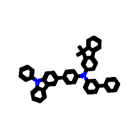 CC1(C)C2=CC(N(c3ccc(-c4ccc5c(c4)c4ccccc4n5-c4ccccc4)cc3)c3cccc(-c4ccccc4)c3)CC=C2c2ccccc21